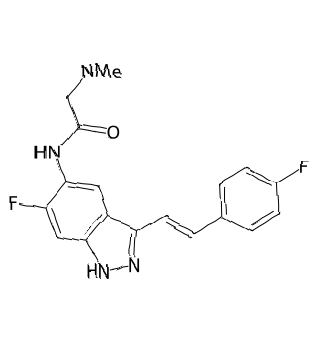 CNCC(=O)Nc1cc2c(C=Cc3ccc(F)cc3)n[nH]c2cc1F